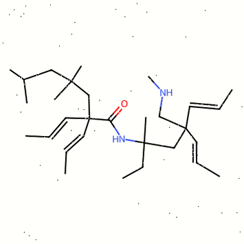 CC=CC(C=CC)(CNC)CC(C)(CC)NC(=O)C(C=CC)(C=CC)CC(C)(C)CC(C)C